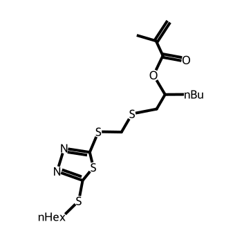 C=C(C)C(=O)OC(CCCC)CSCSc1nnc(SCCCCCC)s1